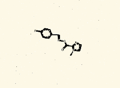 Cn1ccnc1C(=O)ON=Cc1ccc(F)cc1